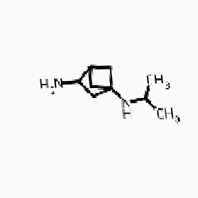 CC(C)NC12CC(N)C(C1)C2